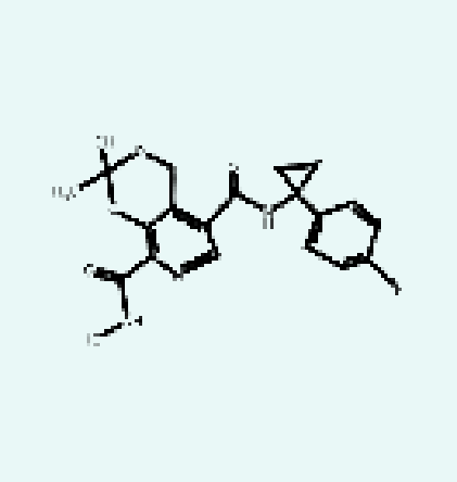 CC1(C)OCc2c(C(=O)NC3(c4ccc(F)cc4)CC3)cnc(C(=O)NO)c2O1